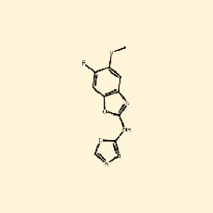 COc1cc2nc(Nc3nnco3)oc2cc1F